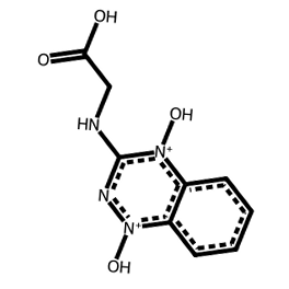 O=C(O)CNc1n[n+](O)c2ccccc2[n+]1O